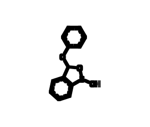 OB1OC(Oc2ccccc2)c2ccccc21